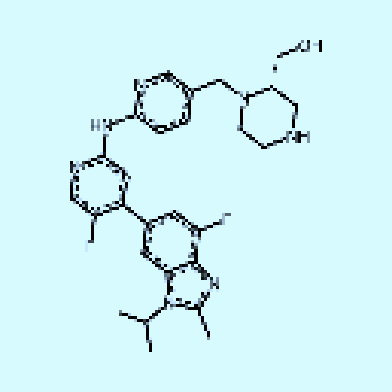 Cc1nc2c(F)cc(-c3nc(Nc4ccc(CN5CCNC[C@H]5CO)cn4)ncc3F)cc2n1C(C)C